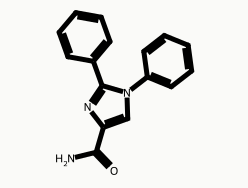 NC(=O)c1cn(-c2ccccc2)c(-c2ccccc2)n1